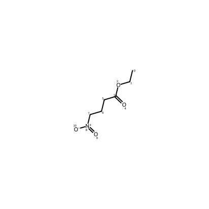 CCOC(=O)CCC[N+](=O)[O-]